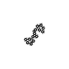 c1ccc(-c2ccc(N(c3ccc4oc5cc6c7ccc(N(c8ccc(-c9ccccc9)cc8)c8cccc9c8sc8c(-c%10ccccc%10)cccc89)cc7c7ccccc7c6cc5c4c3)c3cccc4c3sc3c(-c5ccccc5)cccc34)cc2)cc1